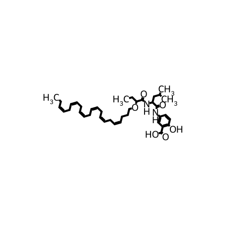 CC/C=C\C/C=C\C/C=C\C/C=C\C/C=C\C/C=C\CCCOC(CC)C(=O)NC(CC(C)C)C(=O)Nc1ccc(O)c(C(=O)O)c1